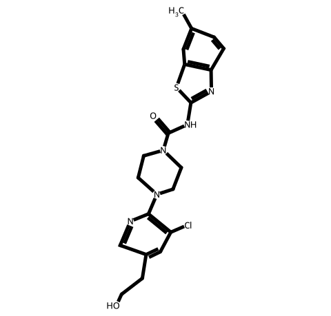 Cc1ccc2nc(NC(=O)N3CCN(c4ncc(CCO)cc4Cl)CC3)sc2c1